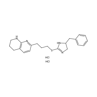 Cl.Cl.c1ccc(CC2CN=C(SCCCc3ccc4c(n3)NCCC4)N2)cc1